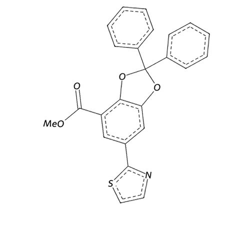 COC(=O)c1cc(-c2nccs2)cc2c1OC(c1ccccc1)(c1ccccc1)O2